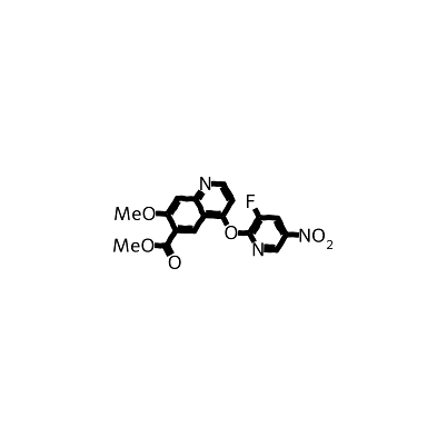 COC(=O)c1cc2c(Oc3ncc([N+](=O)[O-])cc3F)ccnc2cc1OC